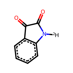 [2H]N1C(=O)C(=O)c2ccccc21